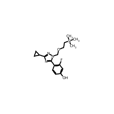 C[Si](C)(C)CCOCn1nc(C2CC2)nc1-c1ccc(O)cc1F